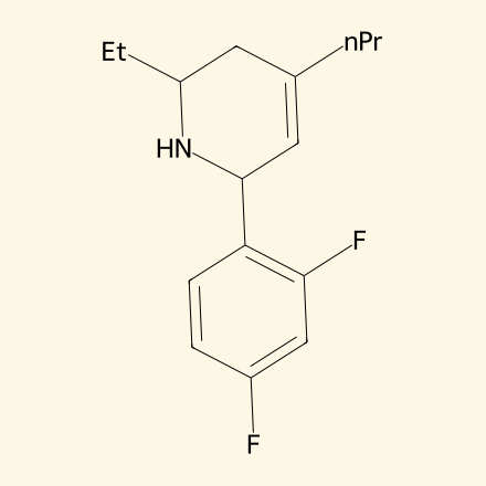 CCCC1=CC(c2ccc(F)cc2F)NC(CC)C1